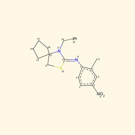 Cc1cc([N+](=O)[O-])ccc1N=C1SCC2(CCCC2)N1CC(C)C